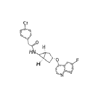 O=C(Cc1ccc(Cl)cc1)NC1[C@H]2C[C@H](Oc3ccnc4ccc(F)cc34)C[C@@H]12